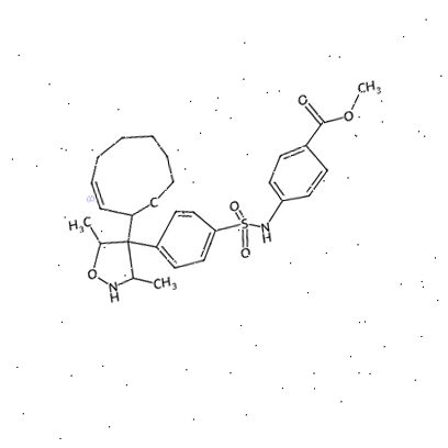 COC(=O)c1ccc(NS(=O)(=O)c2ccc(C3(C4/C=C\CCCCCC4)C(C)NOC3C)cc2)cc1